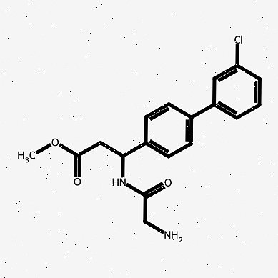 COC(=O)CC(NC(=O)CN)c1ccc(-c2cccc(Cl)c2)cc1